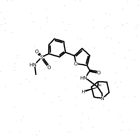 CNS(=O)(=O)c1cccc(-c2ccc(C(=O)N[C@H]3CN4CCC3CC4)o2)c1